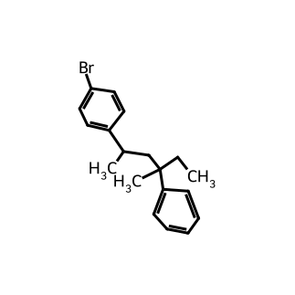 CCC(C)(CC(C)c1ccc(Br)cc1)c1ccccc1